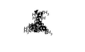 CCC[C@H](NC(=O)C1C[C@@H](Oc2cc(-n3cccn3)nc3cc(OC)ccc23)CN1C(=O)C(NC(=O)NC(C)(C)C)C(C)(C)C)C(O)C(=O)NC1CC1